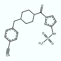 C#Cc1ccc(CN2CCN(C(=O)n3ccc(NS(C)(=O)=O)n3)CC2)cc1